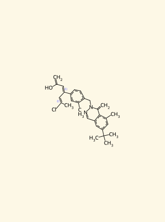 C=C(O)/C=C(\C=C(/C)Cl)c1ccc(CN2N=Cc3cc(C(C)(C)C)cc(C)c3C2=C)c(C)c1